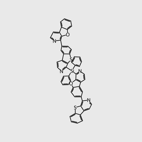 c1ccc([Si](c2ccccc2)(c2nccc3c2oc2ccc(-c4nccc5c4sc4ccccc45)cc23)c2nccc3c2sc2ccc(-c4nccc5c4oc4ccccc45)cc23)cc1